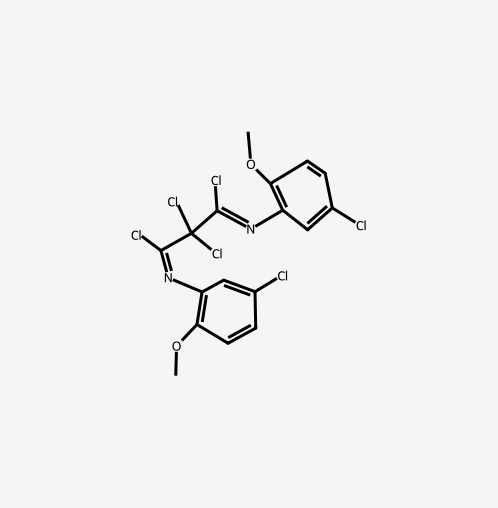 COc1ccc(Cl)cc1/N=C(\Cl)C(Cl)(Cl)/C(Cl)=N\c1cc(Cl)ccc1OC